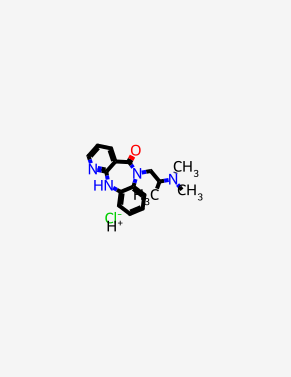 CC(CN1C(=O)c2cccnc2Nc2ccccc21)N(C)C.[Cl-].[H+]